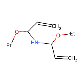 C=CC(NC(C=C)OCC)OCC